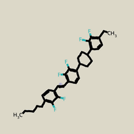 CCCCCc1ccc(/C=C/c2ccc(C3CCC(c4ccc(CC)c(F)c4F)CC3)c(F)c2F)c(F)c1F